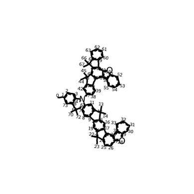 Cc1ccc(N(c2ccc3c(c2)C(C)(C)c2cc4c(cc2-3)C(C)(C)c2ccc3oc5ccccc5c3c2-4)c2ccc3c(c2)C(C)(C)c2c4c(c5oc6ccccc6c5c2-3)-c2ccccc2C4(C)C)c(C(C)(C)C)c1